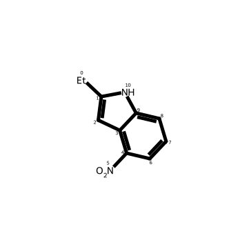 CCc1cc2c([N+](=O)[O-])c[c]cc2[nH]1